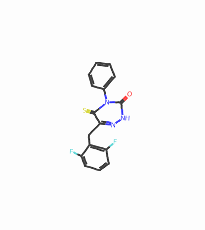 O=c1[nH]nc(Cc2c(F)cccc2F)c(=S)n1-c1ccccc1